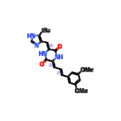 COc1cc(/C=C/C=c2\[nH]c(=O)/c(=C/c3nc[nH]c3C(C)(C)C)[nH]c2=O)cc(OC)c1